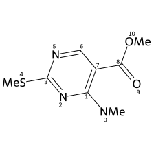 CNc1nc(SC)ncc1C(=O)OC